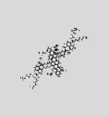 C=Cc1cccc(C(C)C)c1-c1ccc2c3c(Oc4ccc(-c5ccc(N(CCCCCC)CCCCCC)c6cccc(C(=O)NC=O)c56)cc4)cc4c5c(ccc(c6c(Oc7ccc(N8C(=O)c9cccc%10c(N(CCCCCC)CCCCCC)ccc(c9%10)C8=O)cc7)cc(C(=O)NC=O)c1c26)c53)C(=O)N(c1c(CC)cccc1CC)C4=O